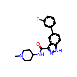 CN1CCC(NC(=O)c2n[nH]c3ccc(-c4cccc(F)c4)cc23)CC1